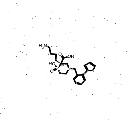 NCCCC[C@@]1(C(=O)O)CN(Cc2ccccc2-c2cccs2)CCP1(=O)O